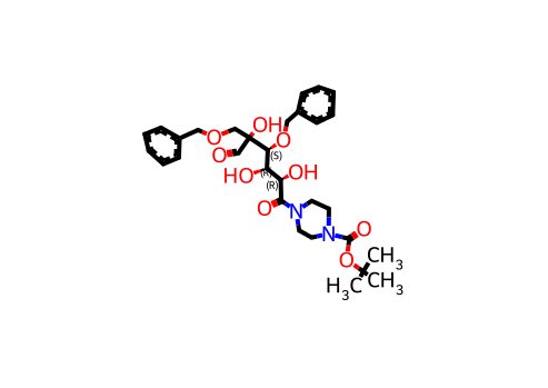 CC(C)(C)OC(=O)N1CCN(C(=O)[C@H](O)[C@@H](O)[C@H](OCc2ccccc2)C(O)(C=O)COCc2ccccc2)CC1